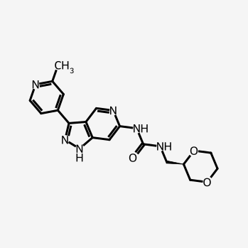 Cc1cc(-c2n[nH]c3cc(NC(=O)NC[C@@H]4COCCO4)ncc23)ccn1